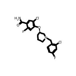 NC(=O)c1cc(Cl)c(O[C@@H]2CCCN(Cc3ccc(F)cc3Cl)C2)cc1F